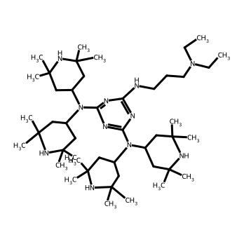 CCN(CC)CCCNc1nc(N(C2CC(C)(C)NC(C)(C)C2)C2CC(C)(C)NC(C)(C)C2)nc(N(C2CC(C)(C)NC(C)(C)C2)C2CC(C)(C)NC(C)(C)C2)n1